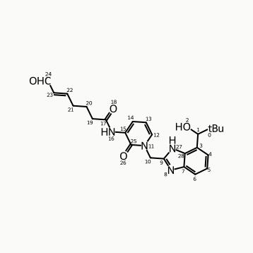 CC(C)(C)C(O)c1cccc2nc(Cn3cccc(NC(=O)CCC/C=C/C=O)c3=O)[nH]c12